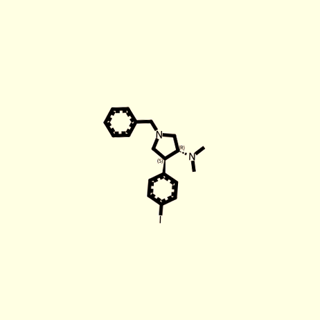 CN(C)[C@H]1CN(Cc2ccccc2)C[C@@H]1c1ccc(I)cc1